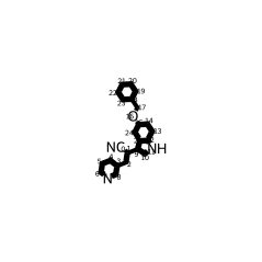 N#C/C(=C\c1cccnc1)c1c[nH]c2ccc(OCc3ccccc3)cc12